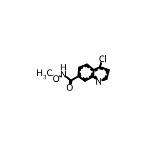 CONC(=O)c1ccc2c(Cl)ccnc2c1